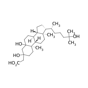 C[C@H](CCCC(C)(C)O)[C@H]1CC[C@H]2[C@@H]3CCC4(O)CC(O)(CC(=O)O)CC[C@]4(C)[C@H]3CC[C@]12C